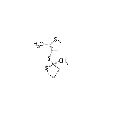 CC1=C(SC2(C)CCCS2)CCS1